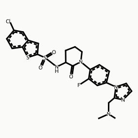 CN(C)Cc1nccn1-c1ccc(N2CCCC(NS(=O)(=O)c3cc4cc(Cl)ccc4s3)C2=O)c(F)c1